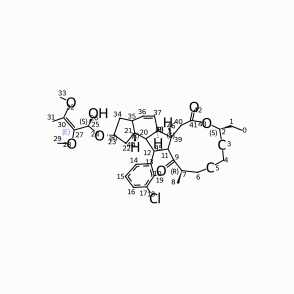 CC[C@H]1CCCC[C@@H](C)C(=O)C2C(c3cccc(Cl)c3)C3[C@@H]4C[C@H](O[C@H](O)/C(OC)=C(/C)OC)CC4C=C[C@H]3[C@@H]2CC(=O)O1